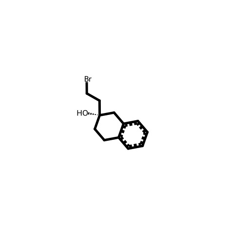 O[C@@]1(CCBr)CCc2ccccc2C1